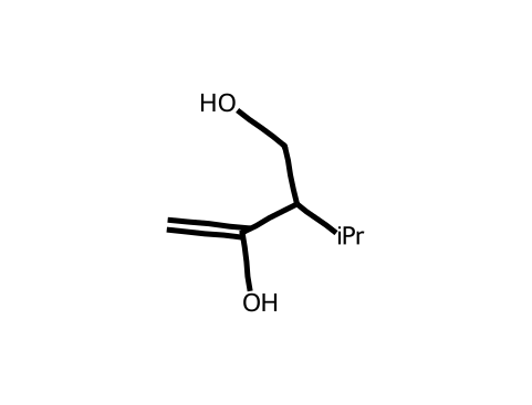 C=C(O)C(CO)C(C)C